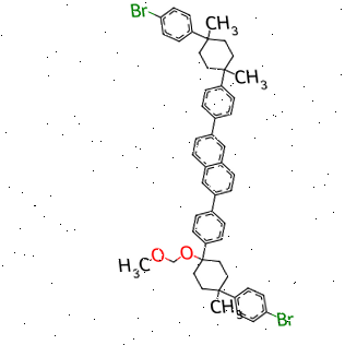 COCOC1(c2ccc(-c3ccc4cc(-c5ccc(C6(C)CCC(C)(c7ccc(Br)cc7)CC6)cc5)ccc4c3)cc2)CCC(C)(c2ccc(Br)cc2)CC1